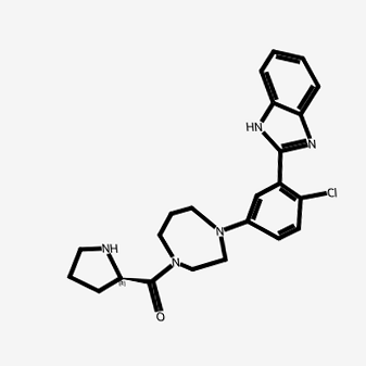 O=C([C@H]1CCCN1)N1CCCN(c2ccc(Cl)c(-c3nc4ccccc4[nH]3)c2)CC1